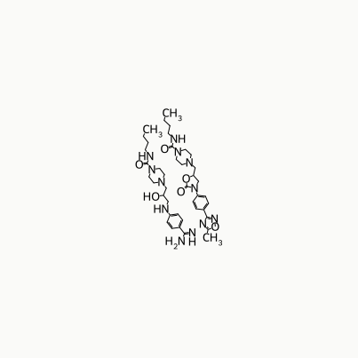 CCCCNC(=O)N1CCN(CC(O)CNc2ccc(C(=N)N)cc2)CC1.CCCCNC(=O)N1CCN(CC2CN(c3ccc(-c4noc(C)n4)cc3)C(=O)O2)CC1